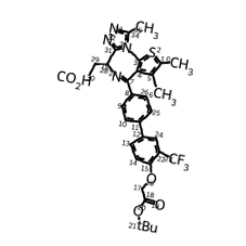 Cc1sc2c(c1C)C(c1ccc(-c3ccc(OCC(=O)OC(C)(C)C)c(C(F)(F)F)c3)cc1)=N[C@@H](CC(=O)O)c1nnc(C)n1-2